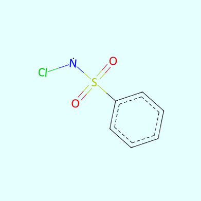 O=S(=O)([N]Cl)c1ccccc1